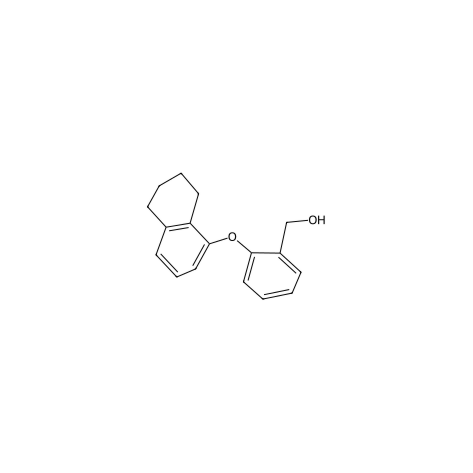 OCc1ccccc1Oc1cccc2c1CCCC2